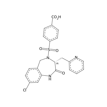 O=C(O)c1ccc(S(=O)(=O)N2Cc3ccc(Cl)cc3NC(=O)[C@H]2Cc2ccccn2)cc1